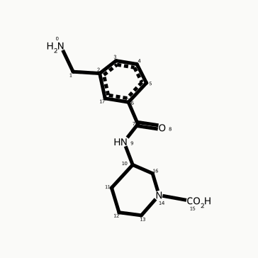 NCc1cccc(C(=O)NC2CCCN(C(=O)O)C2)c1